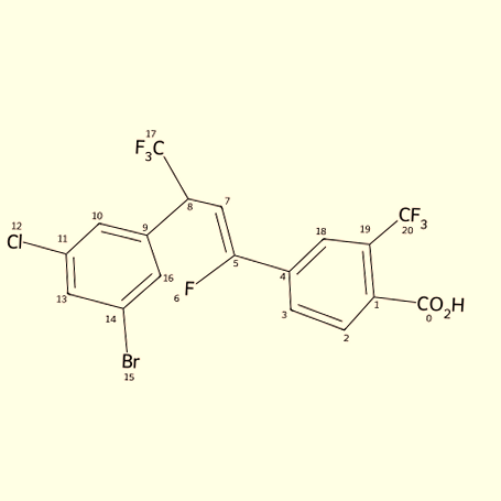 O=C(O)c1ccc(C(F)=CC(c2cc(Cl)cc(Br)c2)C(F)(F)F)cc1C(F)(F)F